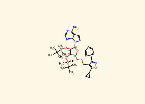 CC(C)(C)[Si](C)(C)O[C@@H]1[C@H](O[Si](C)(C)C(C)(C)C)[C@@H](CSCc2c(-c3ccccc3)noc2C2CC2)O[C@H]1n1ccc2c(N)ncnc21